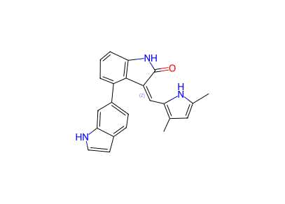 Cc1cc(C)c(/C=C2\C(=O)Nc3cccc(-c4ccc5cc[nH]c5c4)c32)[nH]1